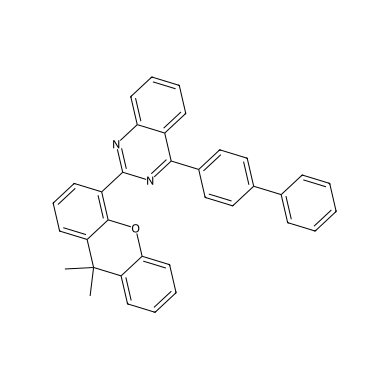 CC1(C)c2ccccc2Oc2c(-c3nc(-c4ccc(-c5ccccc5)cc4)c4ccccc4n3)cccc21